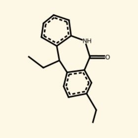 CCc1ccc2c(c1)C(=O)Nc1ccccc1C2CC